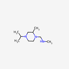 CNCN1CCN(C(C)C)CC1C